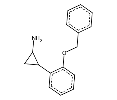 NC1CC1c1ccccc1OCc1ccccc1